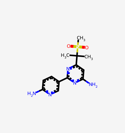 CC(C)(c1cc(N)nc(-c2ccc(N)nc2)n1)S(C)(=O)=O